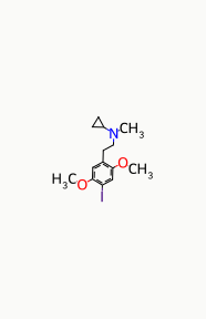 COc1cc(CCN(C)C2CC2)c(OC)cc1I